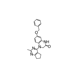 Cc1nc2c(c(N3CC(=O)Nc4cc(OCc5ccccc5)ccc43)n1)CCC2